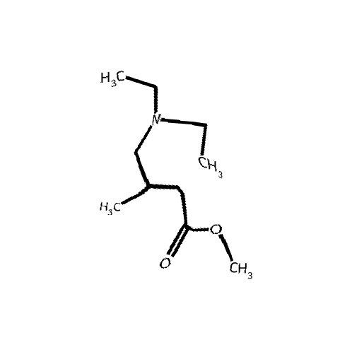 CCN(CC)CC(C)CC(=O)OC